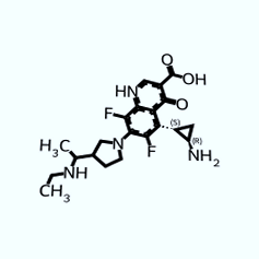 CCNC(C)C1CCN(c2c(F)c([C@@H]3C[C@H]3N)c3c(=O)c(C(=O)O)c[nH]c3c2F)C1